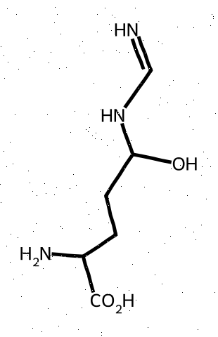 N=CNC(O)CCC(N)C(=O)O